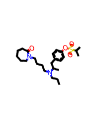 CCCN(CCCCN1CCCCCC1=O)C(C)Cc1ccc(OS(=O)(=O)C(C)C)cc1